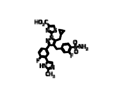 Cc1ncc(-c2cc(-c3nn(-c4nc(C(=O)O)cs4)c(CC4CC4)c3Cc3ccc(S(N)(=O)=O)c(F)c3)ccc2F)[nH]1